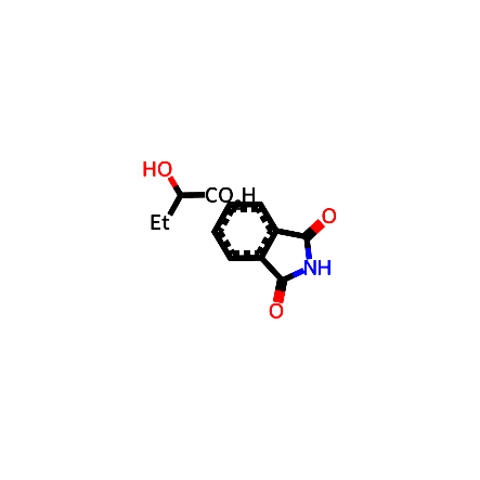 CCC(O)C(=O)O.O=C1NC(=O)c2ccccc21